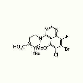 COc1c(Cl)c(Br)c(F)c2ncnc(N3CCN(C(=O)O)C(C(C)(C)C)C3)c12